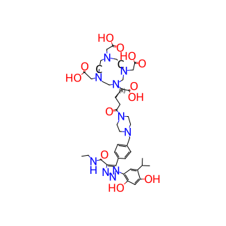 CCNC(=O)c1nnn(-c2cc(C(C)C)c(O)cc2O)c1-c1ccc(CN2CCN(C(=O)CC[C@H](C(=O)O)N3CCN(CC(=O)O)CCN(CC(=O)O)CCN(CC(=O)O)C3)CC2)cc1